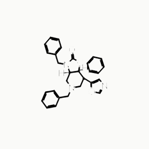 O=C1O[C@H]2[C@H](CN(Cc3ccccc3)C[C@]2(c2ccccc2)c2cnco2)N1Cc1ccccc1